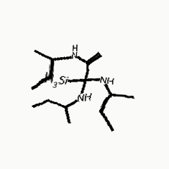 C=C(NC(C)CC)C([SiH3])(NC(C)CC)NC(C)CC